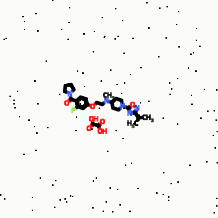 CC(C)c1noc(N2CCC(N(C)CCOc3ccc(C(=O)N4CCCC4)c(F)c3)CC2)n1.O=C(O)C(=O)O